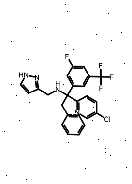 Fc1cc(C(F)(F)F)cc(C(Cc2ccccc2)(NCc2cc[nH]n2)c2ccc(Cl)cn2)c1